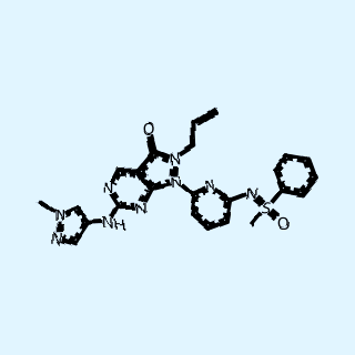 C=CCn1c(=O)c2cnc(Nc3cnn(C)c3)nc2n1-c1cccc(N=S(C)(=O)c2ccccc2)n1